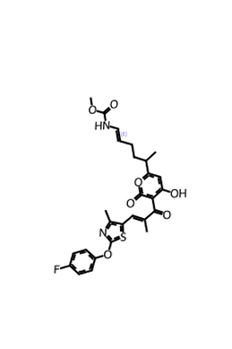 COC(=O)N/C=C/CCC(C)c1cc(O)c(C(=O)C(C)=Cc2sc(Oc3ccc(F)cc3)nc2C)c(=O)o1